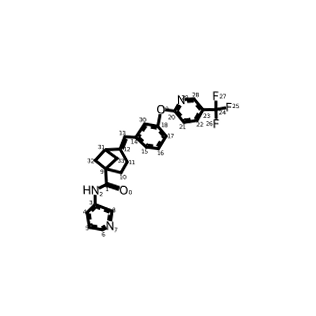 O=C(Nc1cccnc1)C12CCC(=Cc3cccc(Oc4ccc(C(F)(F)F)cn4)c3)C(C1)C2